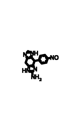 Nc1nc2c([nH]1)Cc1nc[nH]c1C2c1ccc(N=O)cc1